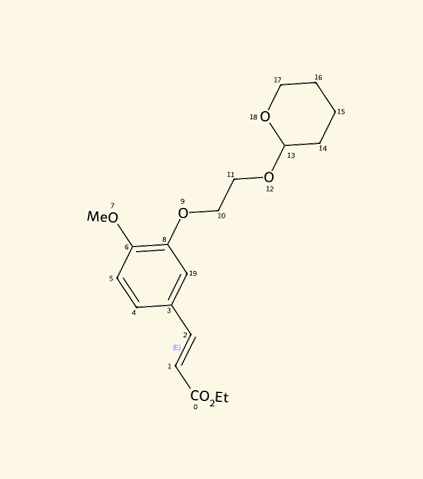 CCOC(=O)/C=C/c1ccc(OC)c(OCCOC2CCCCO2)c1